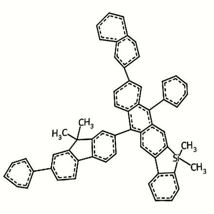 CC1(C)c2cc(-c3ccccc3)ccc2-c2ccc(-c3c4ccc(-c5ccc6ccccc6c5)cc4c(-c4ccccc4)c4cc5c(cc34)-c3ccccc3[Si]5(C)C)cc21